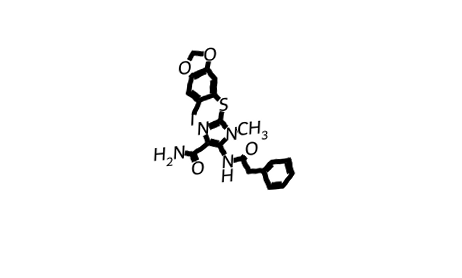 Cn1c(Sc2cc3c(cc2I)OCO3)nc(C(N)=O)c1NC(=O)Cc1ccccc1